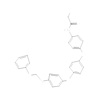 CCC(=O)Nc1ccc(Oc2ccc(Oc3ccc(NCOc4ccccc4)cc3)cc2)cc1